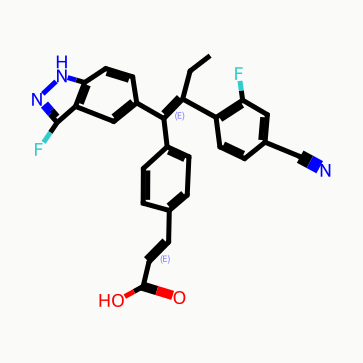 CC/C(=C(/c1ccc(/C=C/C(=O)O)cc1)c1ccc2[nH]nc(F)c2c1)c1ccc(C#N)cc1F